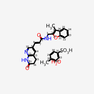 Cc1c(CNC(=O)C=Cc2cnc3c(c2)CCC(=O)N3)oc2ccccc12.Cc1ccc(S(=O)(=O)O)cc1.O